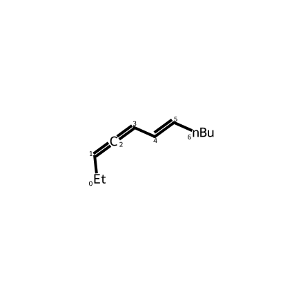 CCC=C=CC=CCCCC